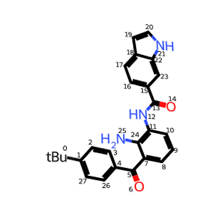 CC(C)(C)c1ccc(C(=O)c2cccc(NC(=O)c3ccc4cc[nH]c4c3)c2N)cc1